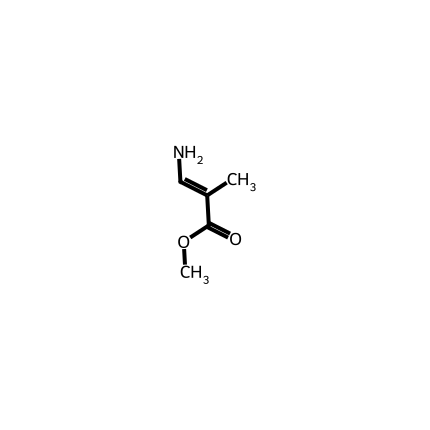 COC(=O)C(C)=CN